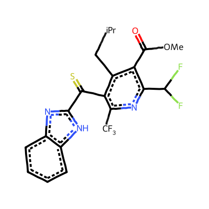 COC(=O)c1c(C(F)F)nc(C(F)(F)F)c(C(=S)c2nc3ccccc3[nH]2)c1CC(C)C